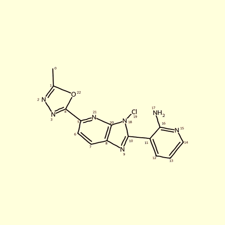 Cc1nnc(-c2ccc3nc(-c4cccnc4N)n(Cl)c3n2)o1